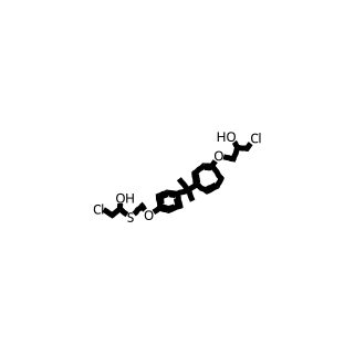 CC(C)(C1=CC=C(OCC(O)CCl)CC=C1)c1ccc(OCSC(O)CCl)cc1